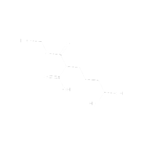 CCOC(=O)C(CCCC(C)C)C(=O)O